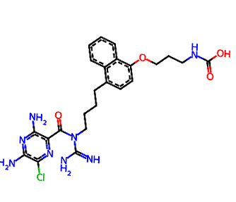 N=C(N)N(CCCCc1ccc(OCCCNC(=O)O)c2ccccc12)C(=O)c1nc(Cl)c(N)nc1N